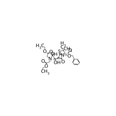 CCOC(=O)CN(CC(=O)OCC)C(=O)[C@@H](O)[C@@H]1C(=O)N2[C@@H]1SC(C)(C)[C@@H]2C(=O)OCc1ccccc1